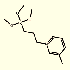 CO[Si](CCC[n+]1cccc(C)c1)(OC)OC